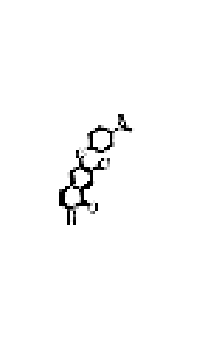 CN(C)[C@H]1CC[C@@H](Oc2cc3cc[nH]c(=O)c3cc2Cl)CC1